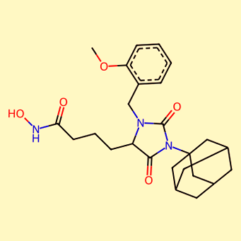 COc1ccccc1CN1C(=O)N(C23CC4CC(CC(C4)C2)C3)C(=O)C1CCCC(=O)NO